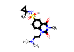 CN(C)CCn1c(=O)n(C)c(=O)c2cc(S(=O)(=O)NC3(C)CC3)ccc21